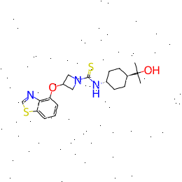 CC(C)(O)[C@H]1CC[C@H](NC(=S)N2CC(Oc3cccc4scnc34)C2)CC1